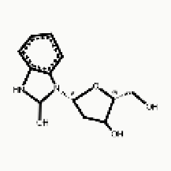 OC[C@H]1O[C@@H](N2c3ccccc3NC2O)CC1O